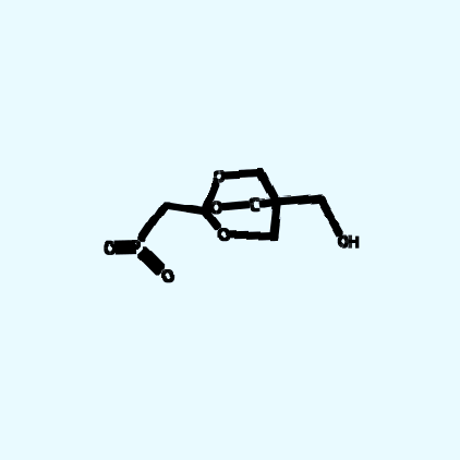 O=P(=O)CC12OCC(CO)(CO1)CO2